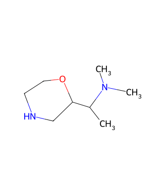 CC(C1CNCCO1)N(C)C